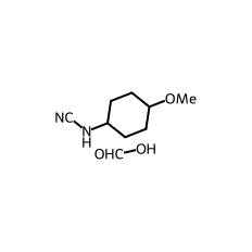 COC1CCC(NC#N)CC1.O=CO